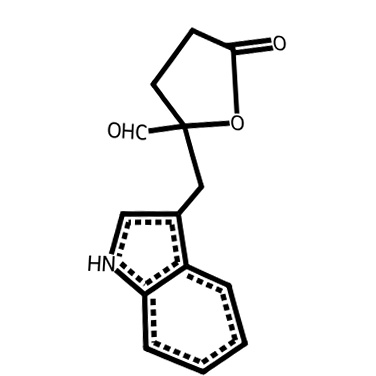 O=CC1(Cc2c[nH]c3ccccc23)CCC(=O)O1